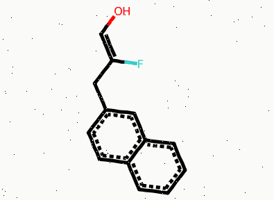 O/C=C(\F)Cc1ccc2ccccc2c1